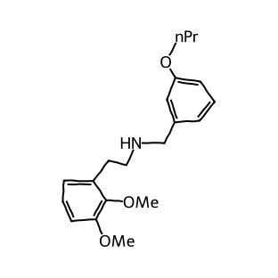 CCCOc1cccc(CNCCc2cccc(OC)c2OC)c1